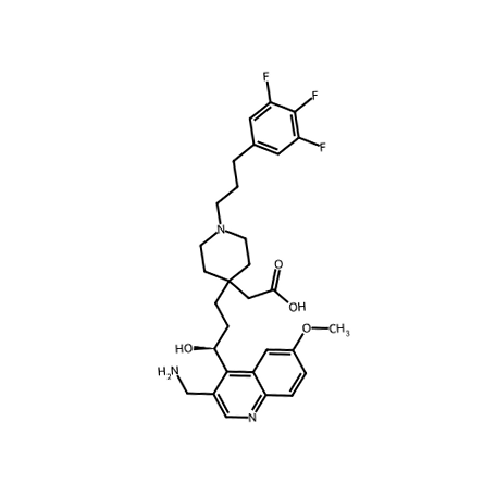 COc1ccc2ncc(CN)c([C@@H](O)CCC3(CC(=O)O)CCN(CCCc4cc(F)c(F)c(F)c4)CC3)c2c1